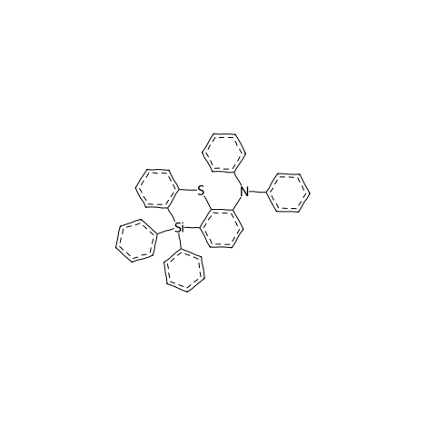 c1ccc(N(c2ccccc2)c2cccc3c2Sc2ccccc2[Si]3(c2ccccc2)c2ccccc2)cc1